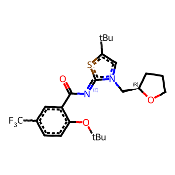 CC(C)(C)Oc1ccc(C(F)(F)F)cc1C(=O)/N=c1\sc(C(C)(C)C)cn1C[C@H]1CCCO1